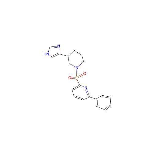 O=S(=O)(c1cccc(-c2ccccc2)n1)N1CCCC(c2c[nH]cn2)C1